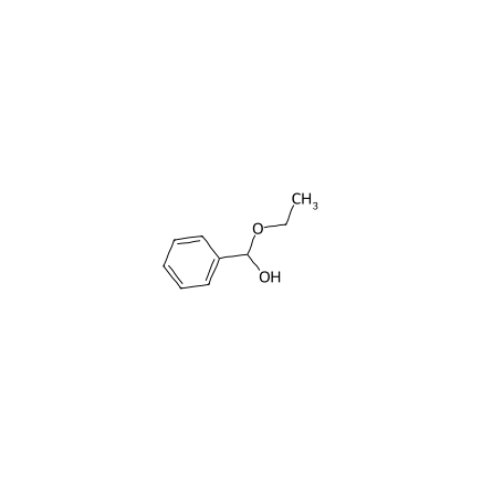 CCOC(O)c1ccccc1